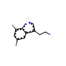 NCCc1c[nH]c2c(Br)cc(Br)cc12